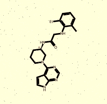 CCc1cccc(C)c1NCC(=O)N[C@@H]1CCCN(c2ncnc3[nH]ccc23)C1